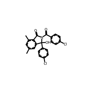 Cc1cc(C)c2c(c1)C(O)(c1ccc(Cl)cc1)N(C(=O)c1ccc(Cl)cc1)C2=O